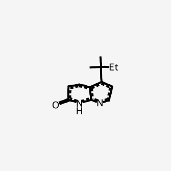 CCC(C)(C)c1ccnc2[nH]c(=O)ccc12